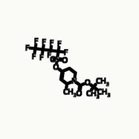 CC1C=C(OS(=O)(=O)C(F)(F)C(F)(F)C(F)(F)C(F)(F)F)CCN1C(=O)OC(C)(C)C